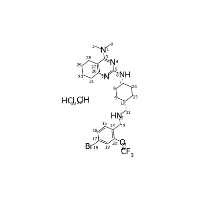 CN(C)c1nc(N[C@H]2CC[C@@H](CNCc3ccc(Br)cc3OC(F)(F)F)CC2)nc2c1CCCC2.Cl.Cl